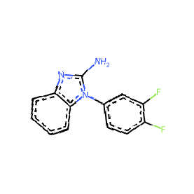 Nc1nc2ccccc2n1-c1ccc(F)c(F)c1